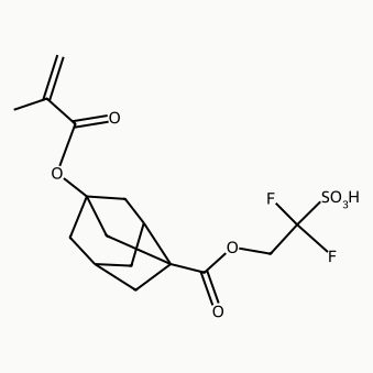 C=C(C)C(=O)OC12CC3CC(C1)C(C(=O)OCC(F)(F)S(=O)(=O)O)(C3)C2